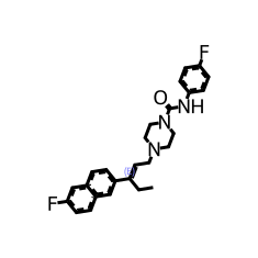 CC/C(=C\CN1CCN(C(=O)Nc2ccc(F)cc2)CC1)c1ccc2cc(F)ccc2c1